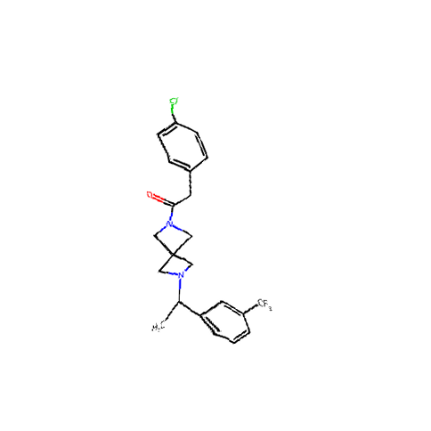 CC(c1cccc(C(F)(F)F)c1)N1CC2(CN(C(=O)Cc3ccc(Cl)cc3)C2)C1